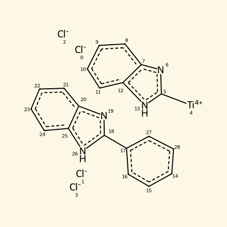 [Cl-].[Cl-].[Cl-].[Cl-].[Ti+4][c]1nc2ccccc2[nH]1.c1ccc(-c2nc3ccccc3[nH]2)cc1